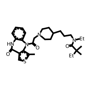 CCN(CCCC1CCN(CC(=O)N2c3ccccc3NC(=O)c3csc(C)c32)CC1)C(=O)C(C)(C)CC